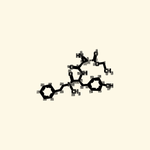 CCOC(=O)[C@H]1N[C@@H]1C(=O)N[C@@H](Cc1ccc(O)cc1)C(=O)N(C)CCc1ccccc1